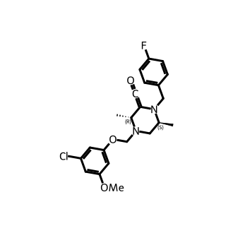 COc1cc(Cl)cc(OCN2C[C@H](C)N(Cc3ccc(F)cc3)C(=C=O)[C@H]2C)c1